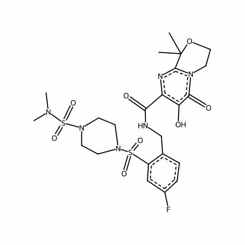 CN(C)S(=O)(=O)N1CCN(S(=O)(=O)c2cc(F)ccc2CNC(=O)c2nc3n(c(=O)c2O)CCOC3(C)C)CC1